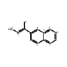 CC(=NO)c1ccc2ccccc2c1